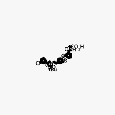 C[C@H](NC(=O)c1cccc(S(=O)(=O)c2ccc(CCN(C[C@@H](O)c3cccc(Cl)c3)C(=O)OC(C)(C)C)cc2)c1)C(=O)O